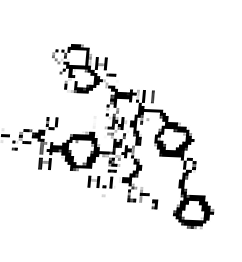 CC(=O)Nc1ccc(S(=O)(=O)N(CC(C)C)C[C@@H](N)[C@H](Cc2ccc(OCc3ccccc3)cc2)NC(=O)O[C@H]2CO[C@H]3OCC[C@H]32)cc1